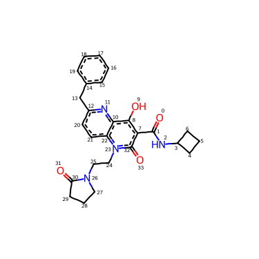 O=C(NC1CCC1)c1c(O)c2nc(Cc3ccccc3)ccc2n(CCN2CCCC2=O)c1=O